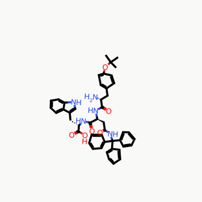 CC(C)(C)Oc1ccc(C[C@@H](N)C(=O)N[C@@H](CC(=O)NC(c2ccccc2)(c2ccccc2)c2ccccc2)C(=O)N[C@@H](Cc2c[nH]c3ccccc23)C(=O)O)cc1